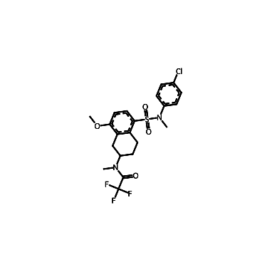 COc1ccc(S(=O)(=O)N(C)c2ccc(Cl)cc2)c2c1CC(N(C)C(=O)C(F)(F)F)CC2